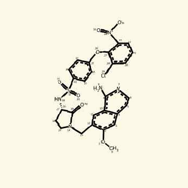 COc1cc2ccnc(N)c2cc1CN1CC[C@H](NS(=O)(=O)c2ccc(Oc3c(Cl)cccc3[N+](=O)[O-])cc2)C1=O